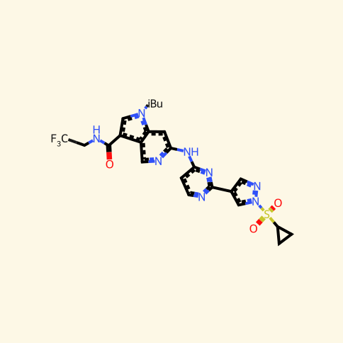 CCC(C)n1cc(C(=O)NCC(F)(F)F)c2cnc(Nc3ccnc(-c4cnn(S(=O)(=O)C5CC5)c4)n3)cc21